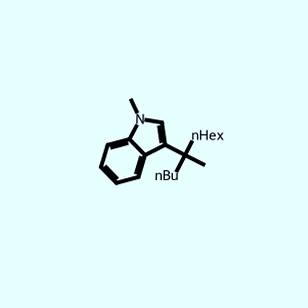 CCCCCCC(C)(CCCC)c1cn(C)c2ccccc12